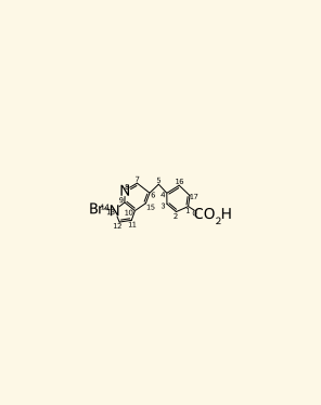 O=C(O)c1ccc(Cc2cnc3c(ccn3Br)c2)cc1